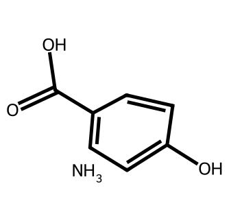 N.O=C(O)c1ccc(O)cc1